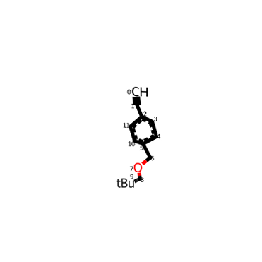 C#Cc1ccc(COCC(C)(C)C)cc1